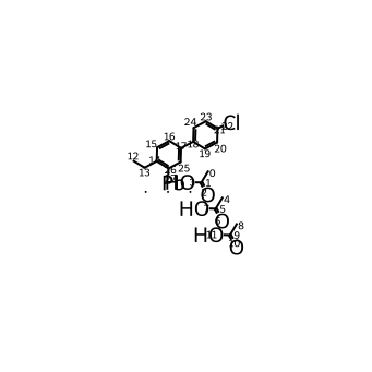 CC(=O)O.CC(=O)O.CC(=O)O.CCc1ccc(-c2ccc(Cl)cc2)c[c]1[Pb]